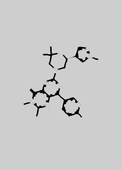 Cc1nc2c(-c3ccc(C(F)(F)F)nc3)nc(N3C[C@H](c4cnn(C)c4)OC(C)(C)C3)nc2c(=O)n1C